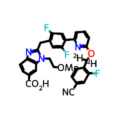 [2H]C([2H])(Oc1cccc(-c2cc(F)c(Cc3nc4ccc(C(=O)O)cc4n3CCOC)cc2F)n1)c1ccc(C#N)cc1F